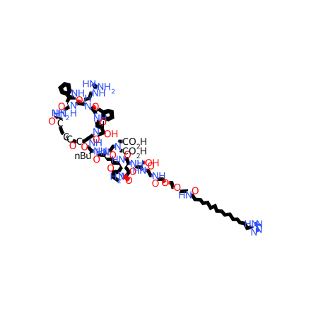 CCCC[C@H](NC(=O)[C@H](CCC(=O)[C@H](CC1=CCC=N1)NC(=O)[C@H](CCC(N)=O)NC(=O)[C@H](CO)NC(=O)CNC(=O)COCCOCCNC(=O)CCCCCCCCCCCCCCCc1nnn[nH]1)NC(=O)CN(CC(=O)O)CC(=O)O)C(=O)N[C@H]1CCC(=O)CCCCC[C@@H](C(N)=O)NC(=O)[C@H](Cc2c[nH]c3ccccc23)NC(=O)[C@H](CCCNC(=N)N)NC(=O)[C@@H](Cc2ccccc2)NC(=O)[C@@H]2C[C@@H](O)CN2C1=O